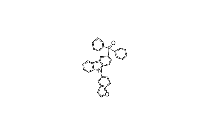 O=P(c1ccccc1)(c1ccccc1)c1ccc2c(c1)c1ccccc1n2-c1ccc2occc2c1